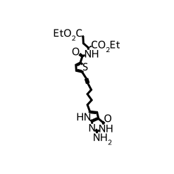 CCOC(=O)CC[C@H](NC(=O)c1ccc(C#CCCCCc2cc3c(=O)[nH]c(N)nc3[nH]2)s1)C(=O)OCC